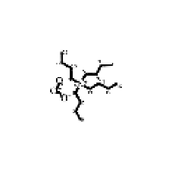 CCCC[N+](CCCC)(CCCC)CCCC.[O-][Cl+][O-]